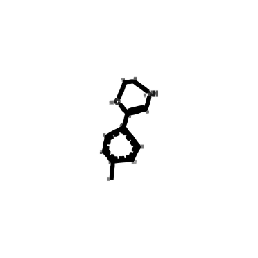 Cc1ccc(C2=CNCCO2)cc1